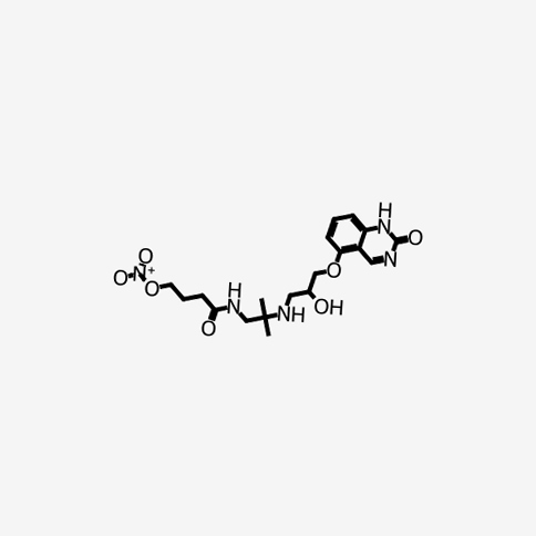 CC(C)(CNC(=O)CCCO[N+](=O)[O-])NCC(O)COc1cccc2[nH]c(=O)ncc12